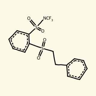 O=S(=O)(CCc1ccccc1)c1ccccc1S(=O)(=O)NC(F)(F)F